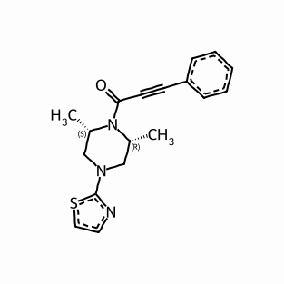 C[C@@H]1CN(c2nccs2)C[C@H](C)N1C(=O)C#Cc1ccccc1